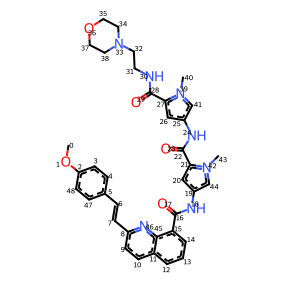 COc1ccc(C=Cc2ccc3cccc(C(=O)Nc4cc(C(=O)Nc5cc(C(=O)NCCN6CCOCC6)n(C)c5)n(C)c4)c3n2)cc1